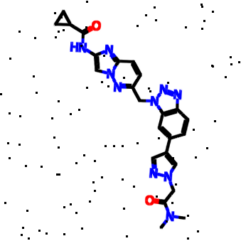 CN(C)C(=O)Cn1cc(-c2ccc3nnn(Cc4ccc5nc(NC(=O)C6CC6)cn5n4)c3c2)cn1